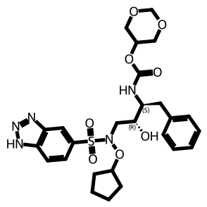 O=C(N[C@@H](Cc1ccccc1)[C@H](O)CN(OC1CCCC1)S(=O)(=O)c1ccc2[nH]nnc2c1)OC1COCOC1